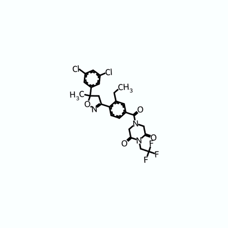 CCc1cc(C(=O)N2CC(=O)N(CC(F)(F)F)C(=O)C2)ccc1C1=NOC(C)(c2cc(Cl)cc(Cl)c2)C1